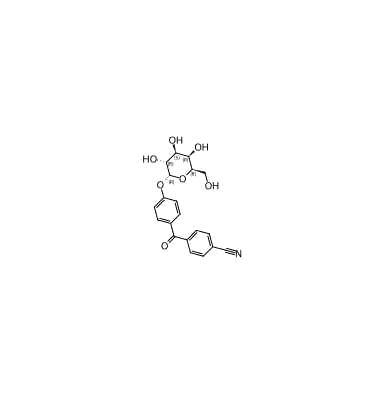 N#Cc1ccc(C(=O)c2ccc(O[C@H]3O[C@H](CO)[C@H](O)[C@H](O)[C@H]3O)cc2)cc1